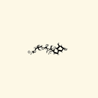 Cc1cc(Br)cc2c1O[C@@](C(C)OC(=O)OCC(C)(C)CO[N+](=O)[O-])(C(F)(F)F)C=C2